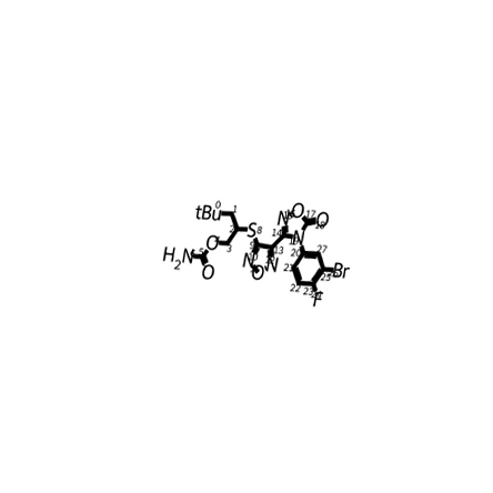 CC(C)(C)CC(COC(N)=O)Sc1nonc1-c1noc(=O)n1-c1ccc(F)c(Br)c1